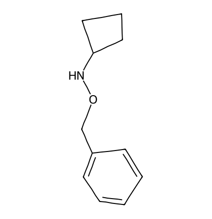 c1ccc(CONC2CCC2)cc1